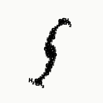 C=C(C)C(=O)OCCCCCCOc1ccc(C(=O)Oc2ccc(-c3ccc(C(=O)Oc4ccc5ccccc5c4-c4c(OC(=O)c5ccc(-c6ccc(OC(=O)c7ccc(OCCCCCCOC(=O)C(=C)C)cc7)cc6)cc5)ccc5ccccc45)cc3)cc2)cc1